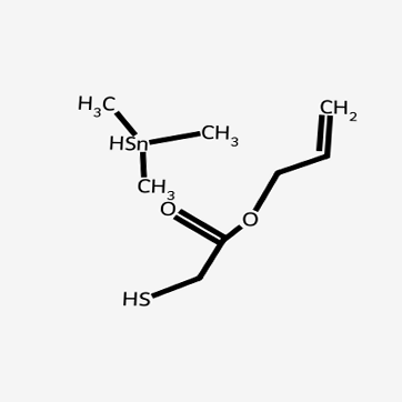 C=CCOC(=O)CS.[CH3][SnH]([CH3])[CH3]